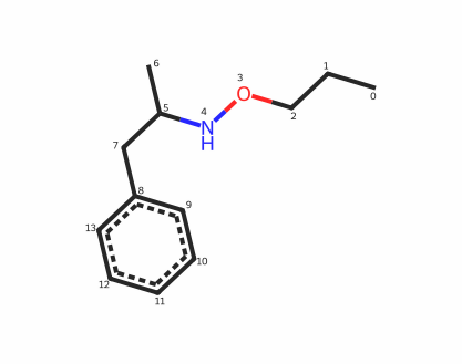 CCCONC(C)Cc1ccccc1